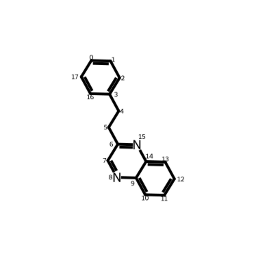 c1ccc(CCc2cnc3ccccc3n2)cc1